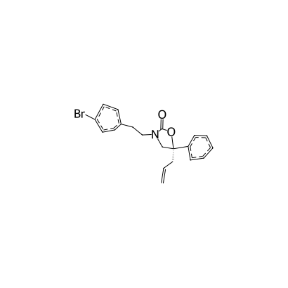 C=CC[C@]1(c2ccccc2)CN(CCc2ccc(Br)cc2)C(=O)O1